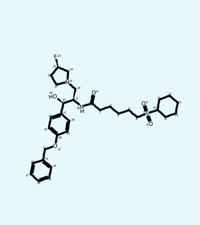 O=C(CCCCCS(=O)(=O)C1CCCCC1)N[C@H](CN1CC[C@@H](F)C1)[C@H](O)c1ccc(OCc2ccccc2)cc1